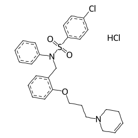 Cl.O=S(=O)(c1ccc(Cl)cc1)N(Cc1ccccc1OCCCN1CC=CCC1)c1ccccc1